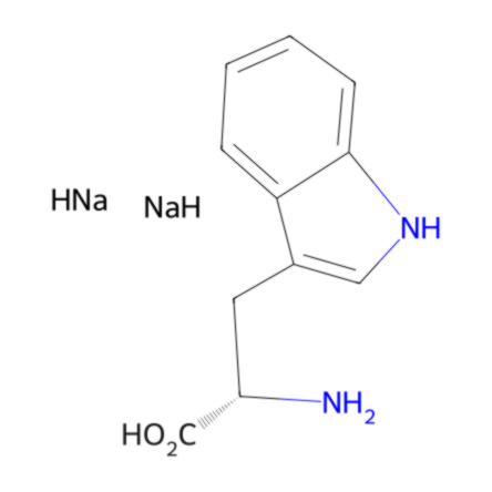 N[C@@H](Cc1c[nH]c2ccccc12)C(=O)O.[NaH].[NaH]